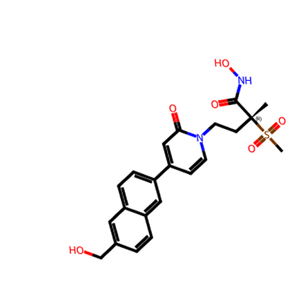 C[C@@](CCn1ccc(-c2ccc3cc(CO)ccc3c2)cc1=O)(C(=O)NO)S(C)(=O)=O